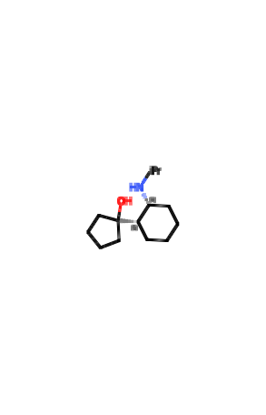 CC(C)N[C@@H]1CCCC[C@@H]1C1(O)CCCC1